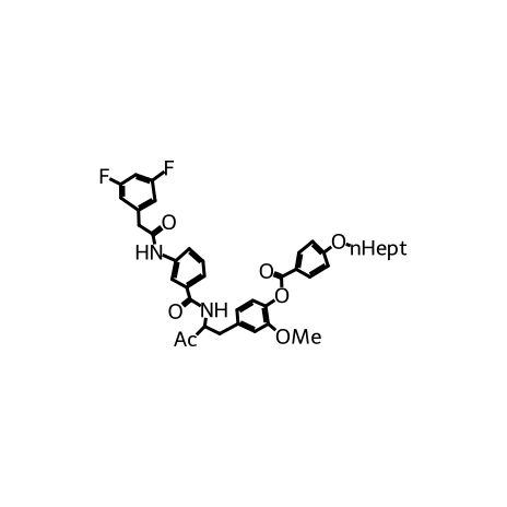 CCCCCCCOc1ccc(C(=O)Oc2ccc(CC(NC(=O)c3cccc(NC(=O)Cc4cc(F)cc(F)c4)c3)C(C)=O)cc2OC)cc1